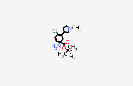 CN1CCC(C2=C(Cl)C=C[C@@](N)(C(=O)OC(C)(C)C)C2)C1